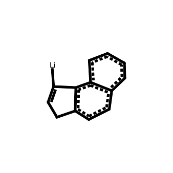 [Li][C]1=CCc2ccc3ccccc3c21